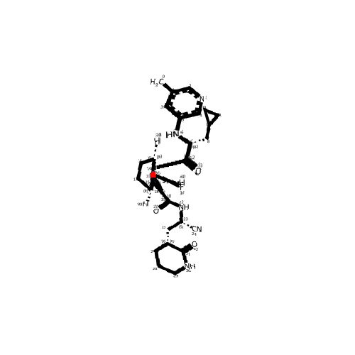 Cc1cncc(N[C@H](CC2CC2)C(=O)N2[C@@H]3CC[C@H]([C@@H]2C(=O)N[C@H](C#N)C[C@H]2CCCNC2=O)C(F)(F)C3)c1